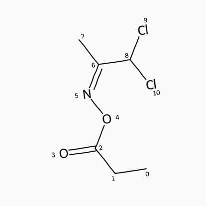 CCC(=O)ON=C(C)C(Cl)Cl